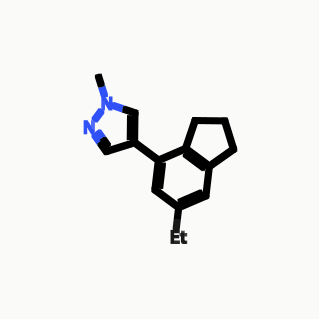 CCc1cc2c(c(-c3cnn(C)c3)c1)CCC2